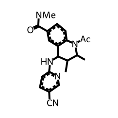 CNC(=O)c1ccc2c(c1)C(Nc1ccc(C#N)cn1)C(C)C(C)N2C(C)=O